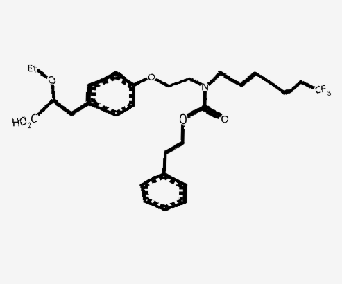 CCOC(Cc1ccc(OCCN(CCCCCC(F)(F)F)C(=O)OCCc2ccccc2)cc1)C(=O)O